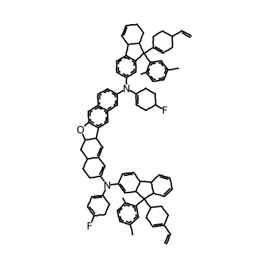 C=CC1=CCC(C2(c3cc(C)ccc3C)C3C=CC=CC3C3C=CC(N(C4=CC=C(F)CC4)C4=CC5=CC6c7cc8cc(N(C9=CCC(F)CC9)c9ccc%10c(c9)C(C9=CCC(C=C)CC9)(c9cc(C)ccc9C)C9CCC=CC%109)ccc8cc7OC6CC5CC4)=CC32)CC1